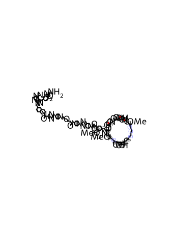 CO[C@H]1C[C@@H]2CC[C@@H](C)[C@@](O)(O2)C(=O)C(=O)N2CCCC[C@H]2C(=O)O[C@H]([C@H](N)C[C@@H]2CC[C@@H](OC(=O)N3CCc4nc(N5CCN(C(=O)CCOCCN6CCN(c7ncc(C(=O)N8CCc9cc(Cn%10nc(-c%11ccc%12oc(N)nc%12c%11)c%11c(N)ncnc%11%10)ccc9C8)cn7)CC6)CC5)ncc4C3)[C@H](OC)C2)C[C@@H](OC)[C@H](C)/C=C(\C)[C@@H](O)[C@@H](O)C(=O)[C@H](C)C[C@H](C)/C=C/C=C/C=C/1C